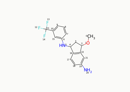 COC1CC(Nc2cccc(C(F)(F)F)c2)c2ccc(N)cc21